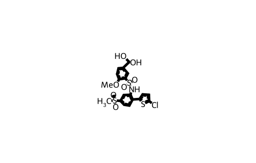 COc1ccc(C(O)O)cc1S(=O)(=O)Nc1cc(S(C)(=O)=O)ccc1-c1ccc(Cl)s1